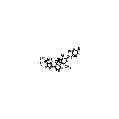 Cc1c(-n2c(C)cc(OCc3ncc(F)cc3F)c(Cl)c2=O)ccnc1-n1ccc(C(C)(C)O)n1